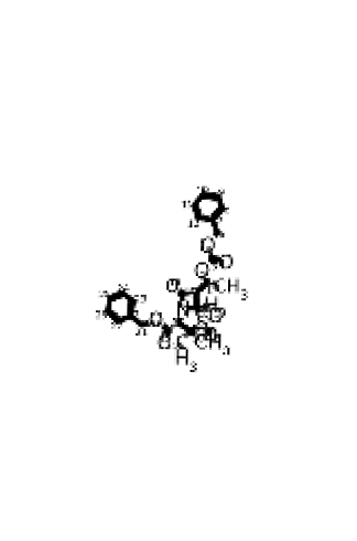 C[C@@H](OC(=O)OCc1ccccc1)[C@@H]1C(=O)N2[C@@H](C(=O)OCc3ccccc3)C(C)(C)S(=O)(=O)[C@H]12